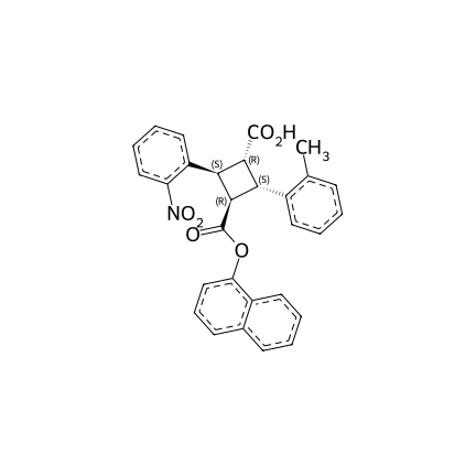 Cc1ccccc1[C@H]1[C@@H](C(=O)O)[C@H](c2ccccc2[N+](=O)[O-])[C@@H]1C(=O)Oc1cccc2ccccc12